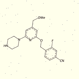 COCc1cc(OCc2ccc(C#N)cc2F)nc(N2CCNCC2)c1